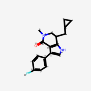 CN1CC(CC2CC2)c2[nH]cc(-c3ccc(F)cc3)c2C1=O